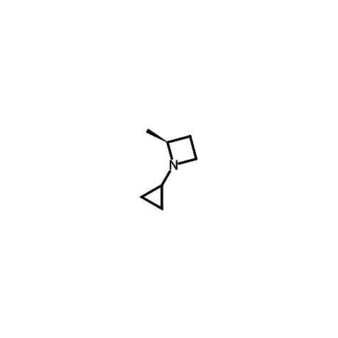 C[C@H]1CCN1C1CC1